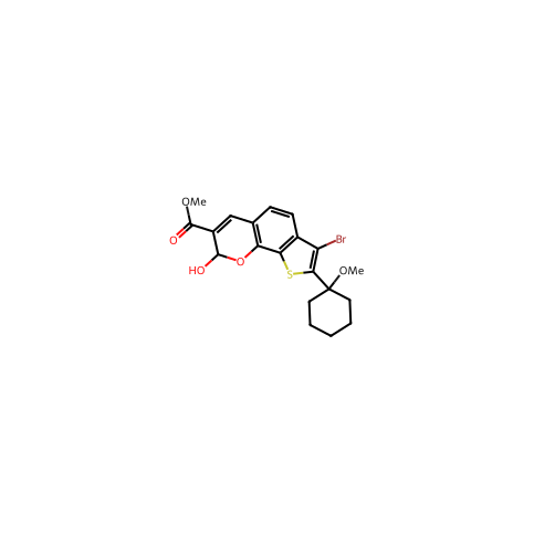 COC(=O)C1=Cc2ccc3c(Br)c(C4(OC)CCCCC4)sc3c2OC1O